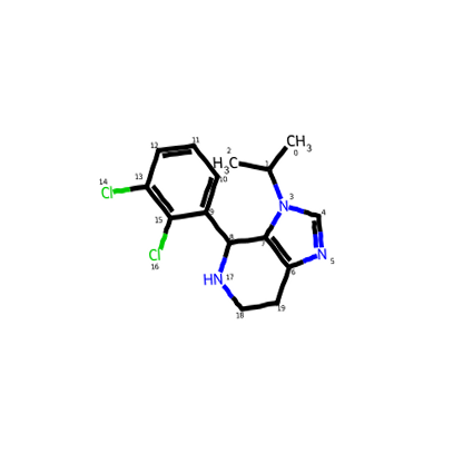 CC(C)n1cnc2c1C(c1cccc(Cl)c1Cl)NCC2